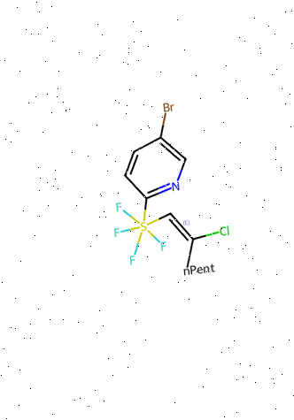 CCCCC/C(Cl)=C\S(F)(F)(F)(F)c1ccc(Br)cn1